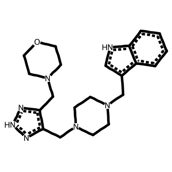 c1ccc2c(CN3CCN(Cc4n[nH]nc4CN4CCOCC4)CC3)c[nH]c2c1